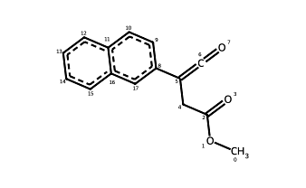 COC(=O)CC(=C=O)c1ccc2ccccc2c1